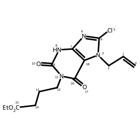 C=CCn1c(Cl)nc2[nH]c(=O)n(CCCC(=O)OCC)c(=O)c21